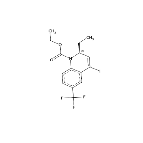 CCOC(=O)N1c2ccc(C(F)(F)F)cc2C(I)=C[C@@H]1CC